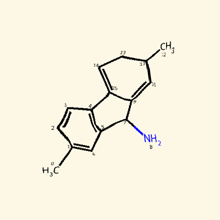 Cc1ccc2c(c1)C(N)C1=CC(C)CC=C12